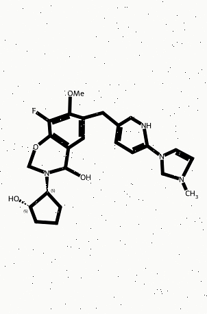 COc1c(CC2=CC=C(N3C=CN(C)C3)NC2)cc2c(c1F)OCN([C@H]1CCC[C@@H]1O)C2O